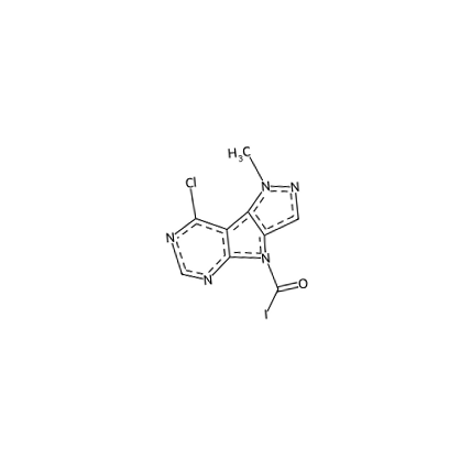 Cn1ncc2c1c1c(Cl)ncnc1n2C(=O)I